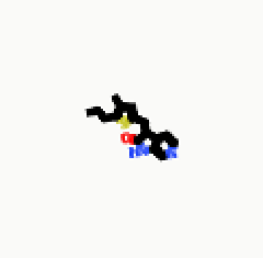 CCCc1sc(C=C2C(=O)Nc3cnccc32)cc1C